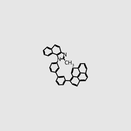 Cc1nc2ccc3ccccc3c2n1-c1cccc(-c2cccc(-c3ccc4ccc5cccc6ccc3c4c56)c2)c1